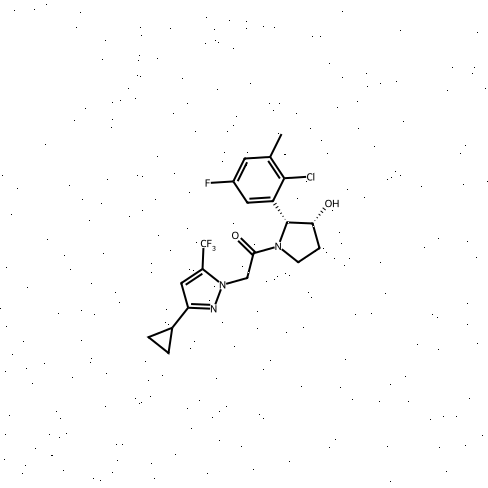 Cc1cc(F)cc([C@@H]2[C@H](O)CCN2C(=O)Cn2nc(C3CC3)cc2C(F)(F)F)c1Cl